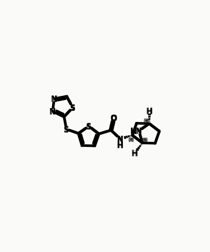 O=C(N[C@@H]1C[C@H]2CC[C@@H]1N2)c1ccc(Sc2nncs2)s1